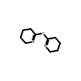 C1CCC(OC2=NCCCC2)=NC1